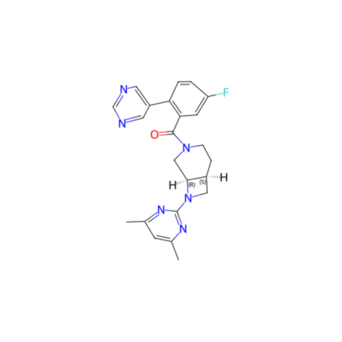 Cc1cc(C)nc(N2C[C@@H]3CCN(C(=O)c4cc(F)ccc4-c4cncnc4)C[C@@H]32)n1